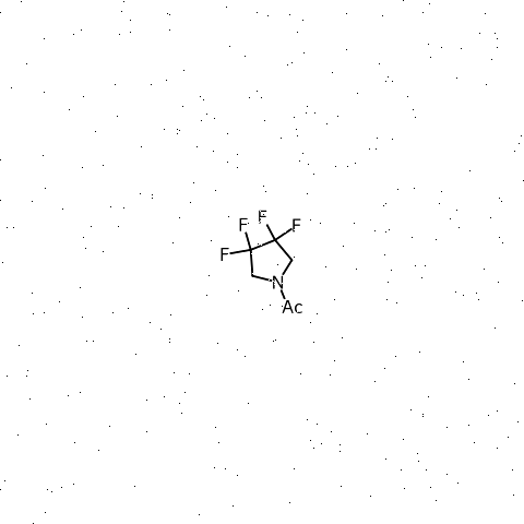 CC(=O)N1CC(F)(F)C(F)(F)C1